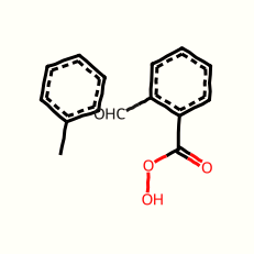 Cc1ccccc1.O=Cc1ccccc1C(=O)OO